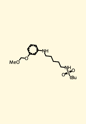 COCOc1cccc(NCCCCCNS(=O)(=O)C(C)(C)C)c1